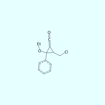 CCOC1(c2ccccc2)C(=C=O)C1CCl